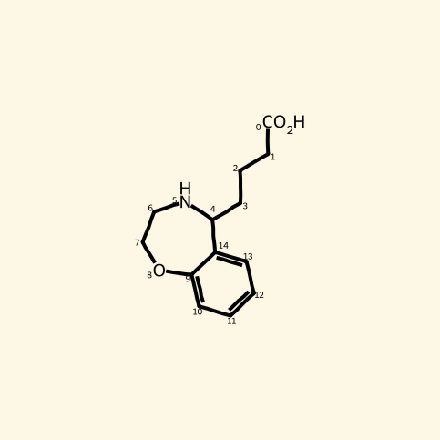 O=C(O)CCCC1NCCOc2ccccc21